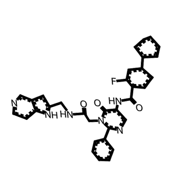 O=C(Cn1c(-c2ccccc2)ncc(NC(=O)c2ccc(-c3ccccc3)cc2F)c1=O)NCc1cc2cnccc2[nH]1